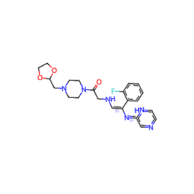 O=C(CN/C=C(/N=c1/cncc[nH]1)c1ccccc1F)N1CCN(CC2OCCO2)CC1